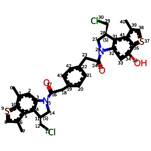 Cc1cc2c(c3c(C)csc13)[C@H](CCl)CN2C(=O)Cc1ccc(CC(=O)N2C[C@@H](CCl)c3c2cc(O)c2scc(C)c32)cc1